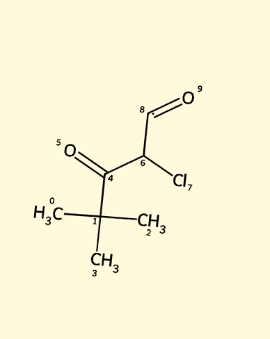 CC(C)(C)C(=O)C(Cl)[C]=O